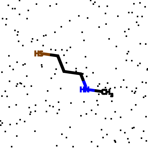 CN[CH]CCS